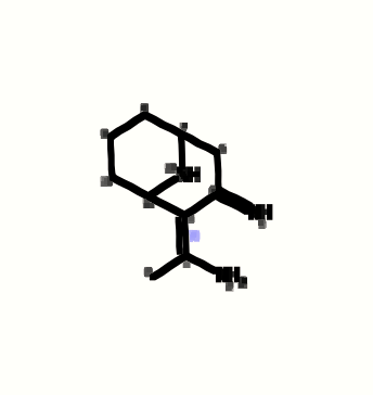 C/C(N)=C1/C(=N)CC2CCCC1N2